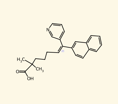 CC(C)(CCC/C=C(\c1cccnc1)c1ccc2ccccc2c1)C(=O)O